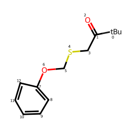 CC(C)(C)C(=O)CSCOc1ccccc1